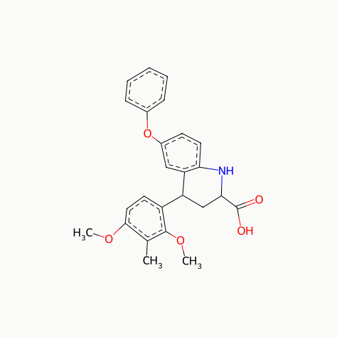 COc1ccc(C2CC(C(=O)O)Nc3ccc(Oc4ccccc4)cc32)c(OC)c1C